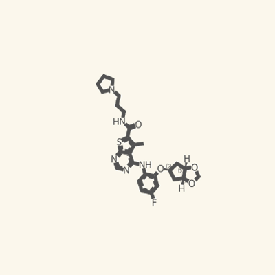 Cc1c(C(=O)NCCCN2CCCC2)sc2ncnc(Nc3ccc(F)cc3O[C@H]3C[C@@H]4OCO[C@@H]4C3)c12